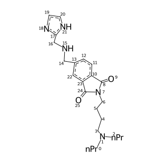 CCCN(CCC)CCCCN1C(=O)c2ccc(CNCc3ncc[nH]3)cc2C1=O